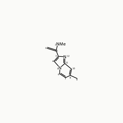 C=C(NC)c1cn2ccc(C)cc2n1